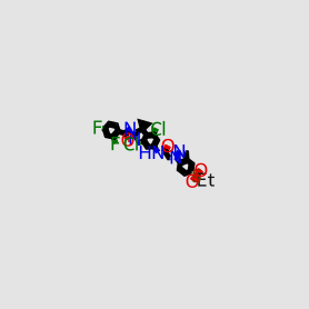 CCS(=O)(=O)c1ccc2c(cnn2CC(=O)Nc2cc(Cl)c(C3(c4noc(-c5ccc(F)cc5F)n4)CC3)c(Cl)c2)c1